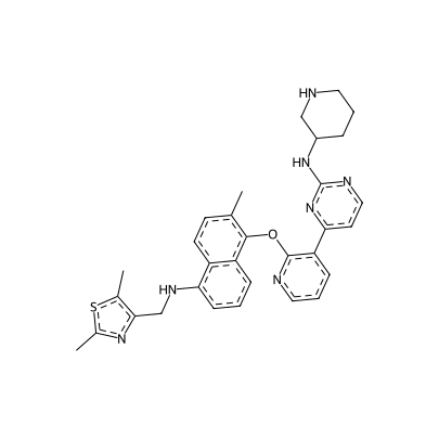 Cc1nc(CNc2cccc3c(Oc4ncccc4-c4ccnc(NC5CCCNC5)n4)c(C)ccc23)c(C)s1